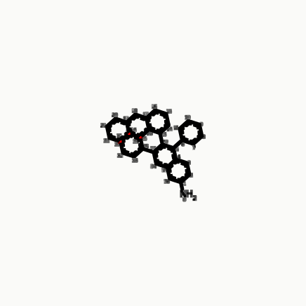 Nc1ccc2c(-c3ccccc3)c(-c3cccc4cc5ccccc5cc34)c(-c3ccccc3)cc2c1